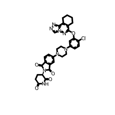 O=C1CC[C@@H](N2C(=O)c3ccc(N4CCN(c5ccc(Cl)c(Oc6nn7cnnc7c7c6CCCC7)c5)CC4)cc3C2=O)C(=O)N1